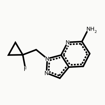 Nc1ccc2cnn(CC3(F)CC3)c2n1